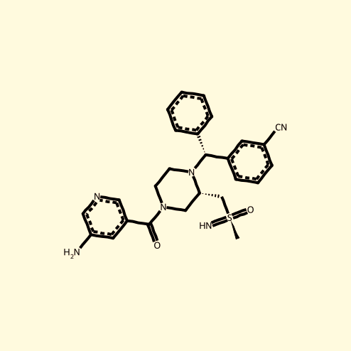 C[S@](=N)(=O)C[C@@H]1CN(C(=O)c2cncc(N)c2)CCN1[C@H](c1ccccc1)c1cccc(C#N)c1